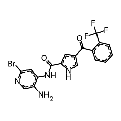 Nc1cnc(Br)cc1NC(=O)c1cc(C(=O)c2ccccc2C(F)(F)F)c[nH]1